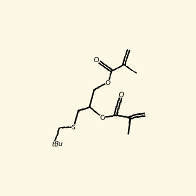 C=C(C)C(=O)OCC(CSCC(C)(C)C)OC(=O)C(=C)C